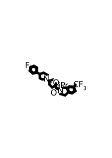 CC(C)[C@]1(C(=O)N2CCc3ccc(C(F)(F)F)cc3C2)CC[C@@H](N2CCC(c3ccc(F)cc3)CC2)CO1